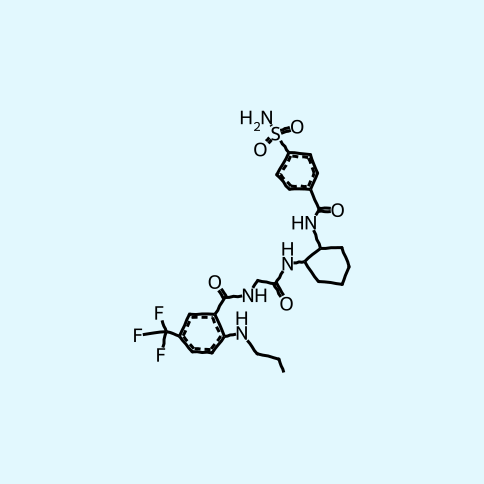 CCCNc1ccc(C(F)(F)F)cc1C(=O)NCC(=O)NC1CCCCC1NC(=O)c1ccc(S(N)(=O)=O)cc1